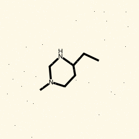 CCC1CCN(C)CN1